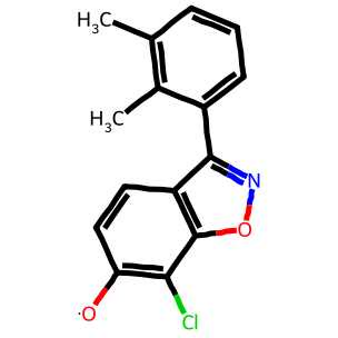 Cc1cccc(-c2noc3c(Cl)c([O])ccc23)c1C